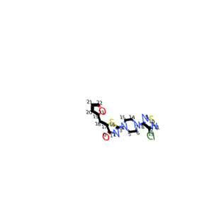 O=C1N=C(N2CCN(c3nsnc3Cl)CC2)SC1=Cc1ccco1